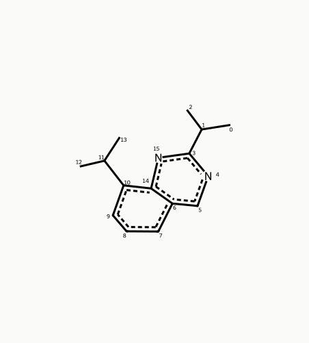 CC(C)c1ncc2cccc(C(C)C)c2n1